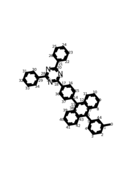 Cc1cccc(-c2c3ccccc3c(-c3ccc(-c4nc(-c5ccccc5)nc(-c5ccccc5)n4)cc3)c3ccccc23)c1